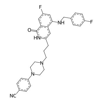 N#Cc1ccc(N2CCN(CCCc3cc4c(NCc5ccc(F)cc5)cc(F)cc4c(=O)[nH]3)CC2)cc1